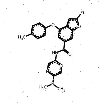 CCc1cc2c(Oc3ccc(C)cc3)cc(C(=O)Nc3cnc(N(C)C)cn3)cc2o1